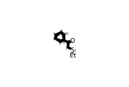 CCSCC(=O)c1ccccc1